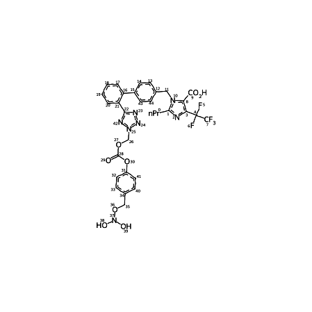 CCCc1nc(C(F)(F)C(F)(F)F)c(C(=O)O)n1Cc1ccc(-c2ccccc2-c2nnn(COC(=O)Oc3ccc(CON(O)O)cc3)n2)cc1